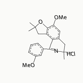 COc1cccc(C2=NC(C)(C)Cc3cc(OC)c4c(c32)CC(C)(C)O4)c1.Cl